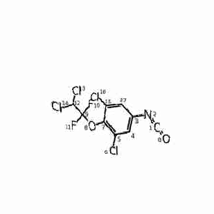 O=C=Nc1cc(Cl)c(OC(F)(F)C(Cl)Cl)c(Cl)c1